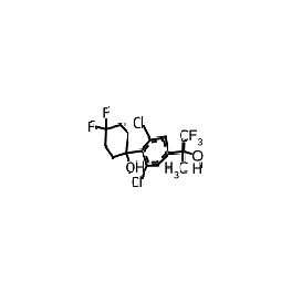 CC(O)(c1cc(Cl)c(C2(O)C[CH]C(F)(F)CC2)c(Cl)c1)C(F)(F)F